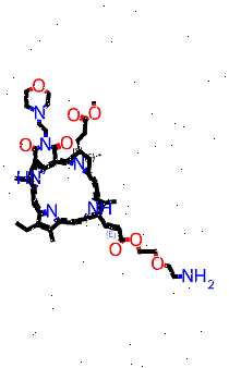 CCC1=C(C)c2cc3[nH]c(cc4nc(c5c6[nH]c(cc1n2)c(C)c6C(=O)N(CCN1CCOCC1)C5=O)[C@@H](CCC(=O)OC)[C@@H]4C)c(C)c3/C=C/C(=O)OCCOCCN